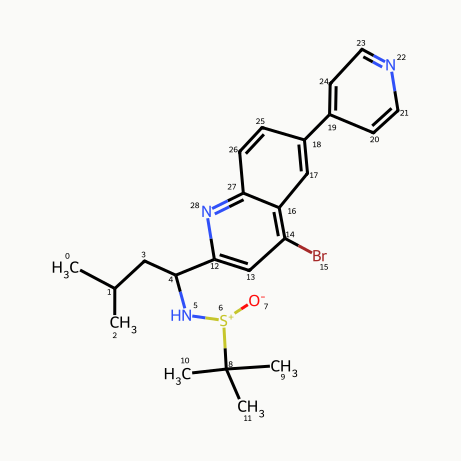 CC(C)CC(N[S+]([O-])C(C)(C)C)c1cc(Br)c2cc(-c3ccncc3)ccc2n1